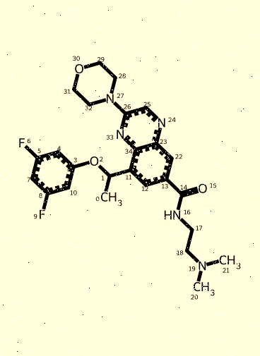 CC(Oc1cc(F)cc(F)c1)c1cc(C(=O)NCCN(C)C)cc2ncc(N3CCOCC3)nc12